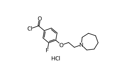 Cl.O=C(Cl)c1ccc(OCCN2CCCCCC2)c(F)c1